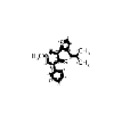 CC(C)Cc1ccsc1-c1cn(C)cc(-c2ccccc2)c1=S